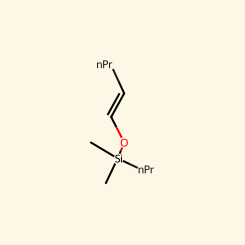 CCCC=CO[Si](C)(C)CCC